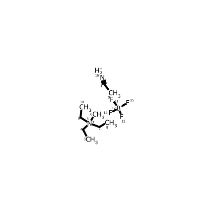 CC#N.CC[N+](C)(CC)CC.F[B-](F)(F)F.[H+]